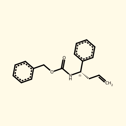 C=CC[C@H](NC(=O)OCc1ccccc1)c1ccccc1